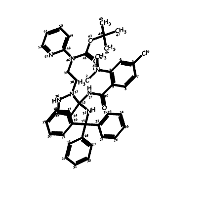 CN(C)c1cc(Cl)ccc1C(=O)NC1(NC(c2ccccc2)(c2ccccc2)c2ccccc2)C=CNN1CCN(C(=O)OC(C)(C)C)c1ccccn1